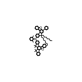 CCCCCCCC1(CCCCCCC)c2cc(N(c3ccc4c(c3)C(C)(C)c3c5c(c6oc7ccccc7c6c3-4)-c3ccccc3C5(C)C)c3c(C)cccc3C)ccc2-c2c1cc(-c1ccccc1)c1oc3ccccc3c21